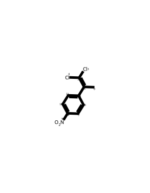 CC(=C(Cl)Cl)c1ccc([N+](=O)[O-])cc1